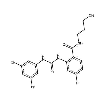 O=C(Nc1cc(Cl)cc(Br)c1)Nc1cc(F)ccc1C(=O)NCCCO